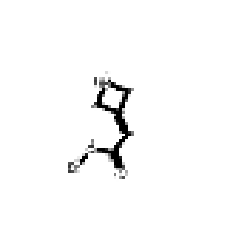 CCOC(=O)C=C1CNC1